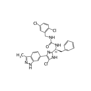 Cc1n[nH]c2cc(-c3nc([C@H](Cc4ccccc4)NC(=O)NCc4cc(Cl)ccc4Cl)[nH]c3Cl)ccc12